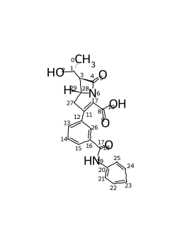 C[C@@H](O)[C@H]1C(=O)N2C(C(=O)O)=C(c3cccc(C(=O)Nc4ccccc4)c3)C[C@H]12